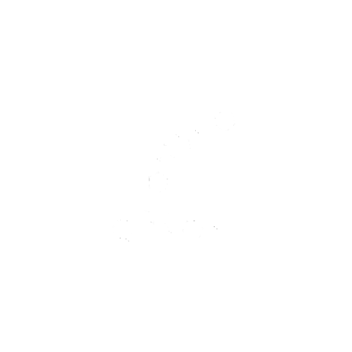 O=C(Nc1ccc(C2S/C(=N\c3ccc(N4CCOCC4)cc3)N(Cc3ccccn3)C2=O)cc1)[C@@H]1CCCN1C(=O)NCc1ccccc1